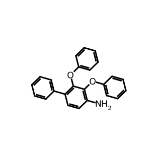 Nc1ccc(-c2ccccc2)c(Oc2ccccc2)c1Oc1ccccc1